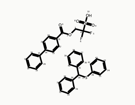 O=C(OCC(F)(F)S(=O)(=O)O)c1ccc(-c2ccccc2)cc1.c1ccc(SC(c2ccccc2)c2ccccc2)cc1